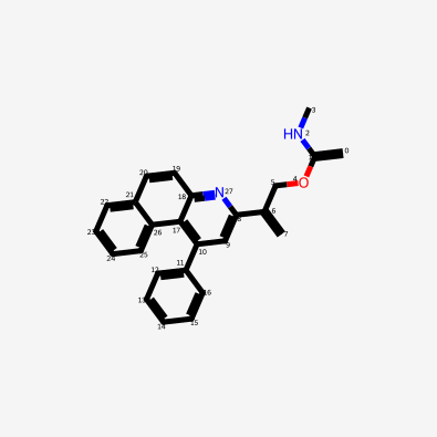 C=C(NC)OCC(=C)c1cc(-c2ccccc2)c2c(ccc3ccccc32)n1